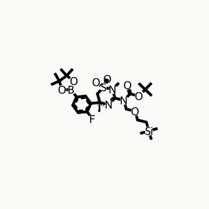 CN1C(N(COCC[Si](C)(C)C)C(=O)OC(C)(C)C)=N[C@](C)(c2cc(B3OC(C)(C)C(C)(C)O3)ccc2F)CS1(=O)=O